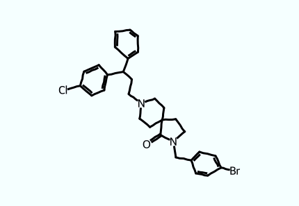 O=C1N(Cc2ccc(Br)cc2)CCC12CCN(CCC(c1ccccc1)c1ccc(Cl)cc1)CC2